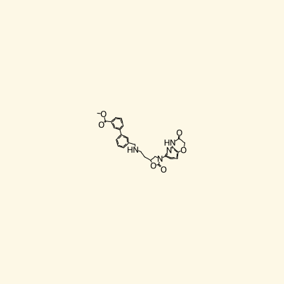 COC(=O)c1cccc(-c2cccc(CNCCC3CN(c4ccc5c(n4)NC(=O)CO5)C(=O)O3)c2)c1